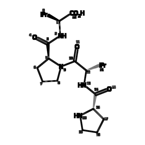 CC(C)[C@H](NC(=O)[C@@H]1CCCN1C(=O)[C@@H](NC(=O)[C@@H]1CCCN1)C(C)C)C(=O)O